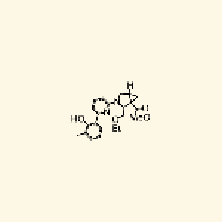 CCOC[C@H]1N(c2cccc(-c3cccc(C)c3O)n2)C[C@@H]2C[C@@]21C(=O)OC